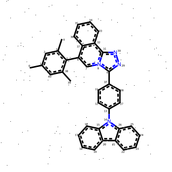 Cc1cc(C)c(-c2cn3c(-c4ccc(-n5c6ccccc6c6ccccc65)cc4)nnc3c3ccccc23)c(C)c1